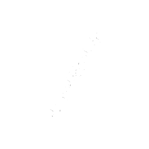 NC(CSCC(=O)NCCNC(=O)C[C@@H](O)[C@@H](O)[C@H](O)C(O)NCCNC(=O)CSCC(N)C(=O)O)C(=O)O